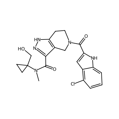 CN(C(=O)c1n[nH]c2c1CN(C(=O)c1cc3c(Cl)cccc3[nH]1)CC2)C1(CO)CC1